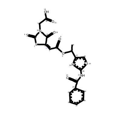 CC(OC(=O)/C=C1/SC(=S)N(CC(=O)O)C1=O)c1csc(NC(=O)c2ccccc2)n1